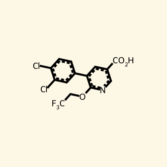 O=C(O)c1cnc(OCC(F)(F)F)c(-c2ccc(Cl)c(Cl)c2)c1